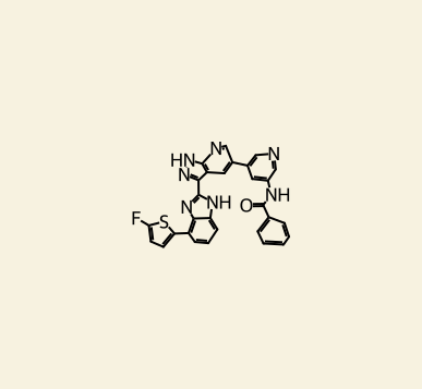 O=C(Nc1cncc(-c2cnc3[nH]nc(-c4nc5c(-c6ccc(F)s6)cccc5[nH]4)c3c2)c1)c1ccccc1